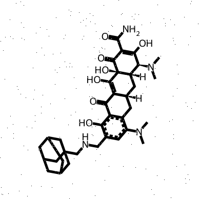 CN(C)c1cc(CNCC23CC4CC(CC(C4)C2)C3)c(O)c2c1C[C@H]1C[C@H]3[C@H](N(C)C)C(O)=C(C(N)=O)C(=O)[C@@]3(O)C(O)=C1C2=O